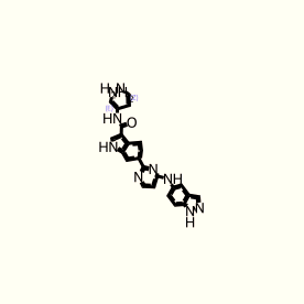 N/C=C\C(=C/N)NC(=O)c1c[nH]c2cc(-c3nccc(Nc4ccc5[nH]ncc5c4)n3)ccc12